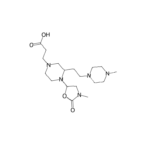 CN1CCN(CCC2CN(CCC(=O)O)CCN2C2CN(C)C(=O)O2)CC1